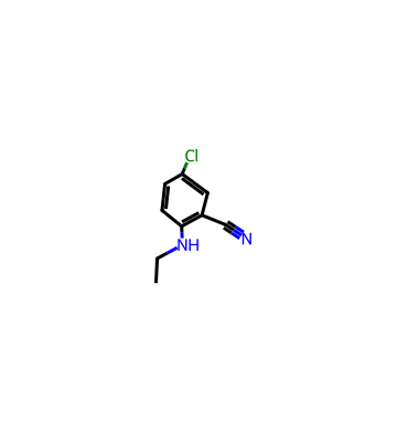 CCNc1ccc(Cl)cc1C#N